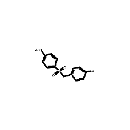 COc1ccc(S(=O)(=O)Cc2ccc(S)cc2)cc1